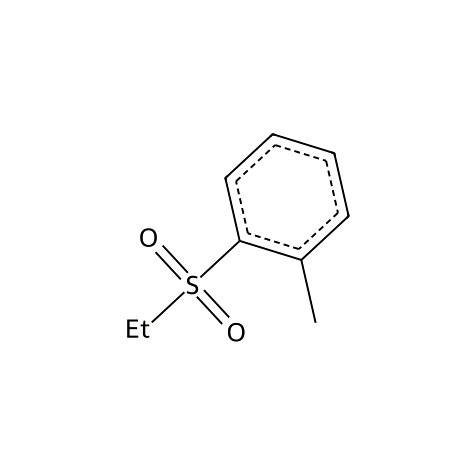 [CH2]CS(=O)(=O)c1ccccc1C